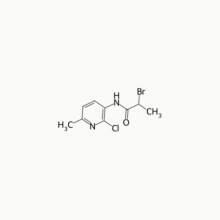 Cc1ccc(NC(=O)C(C)Br)c(Cl)n1